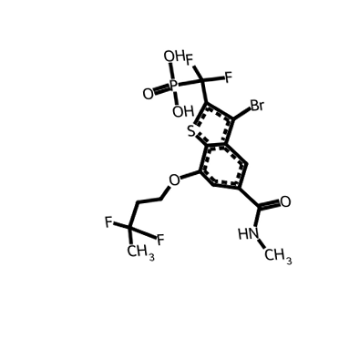 CNC(=O)c1cc(OCCC(C)(F)F)c2sc(C(F)(F)P(=O)(O)O)c(Br)c2c1